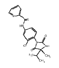 CC(C)C1(C)NC(=O)N(c2ccc(NC(=O)c3ccccn3)cc2Cl)C1=O